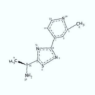 Cc1cc(-c2nsc([C@H](C)N)n2)ccn1